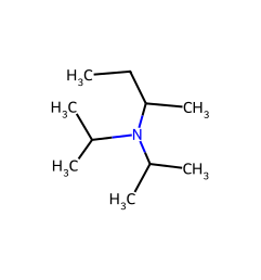 CCC(C)N(C(C)C)C(C)C